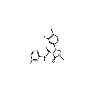 CN1C[C@H](c2ccc(F)c(F)c2)[C@@H](C(=O)Nc2cccc(F)n2)C1=O